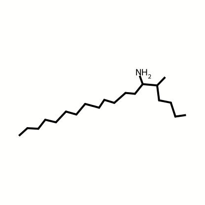 CCCCCCCCCCCCCC(N)C(C)CCCC